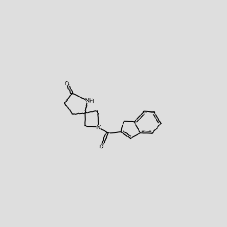 O=C1CCC2(CN(C(=O)C3=Cc4ccccc4C3)C2)N1